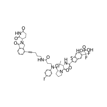 CC(C)(C)[C@H](NC(=O)c1cc2cc(C(F)(F)P(=O)(O)O)ccc2s1)C(=O)N1CCC[C@H]1C(=O)N(CCC(=O)NCCCC#Cc1cccc2c1CN(C1CCC(=O)NC1=O)C2=O)c1ccc(I)cc1